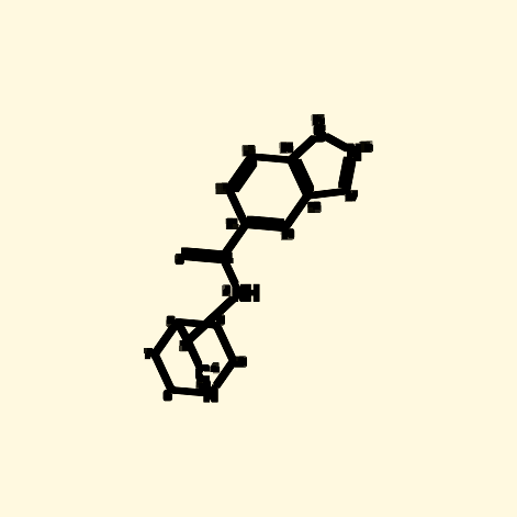 C=C(NC1CN2CCC1CC2)c1ccc2sncc2c1